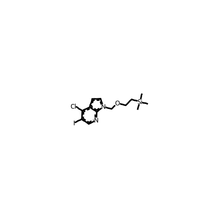 C[Si](C)(C)CCOCn1ccc2c(Cl)c(I)cnc21